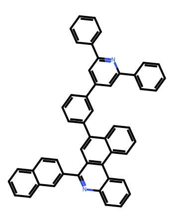 c1ccc(-c2cc(-c3cccc(-c4cc5c(-c6ccc7ccccc7c6)nc6ccccc6c5c5ccccc45)c3)cc(-c3ccccc3)n2)cc1